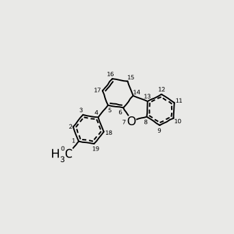 Cc1ccc(C2=C3Oc4ccccc4C3CC=C2)cc1